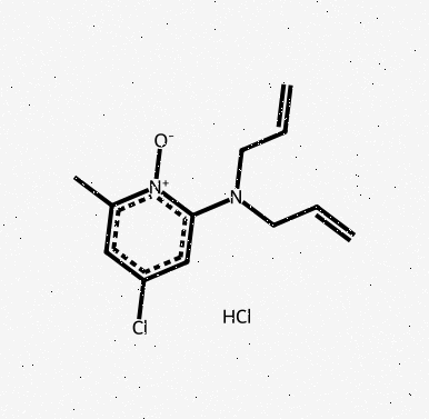 C=CCN(CC=C)c1cc(Cl)cc(C)[n+]1[O-].Cl